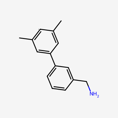 Cc1[c]c(C)cc(-c2cccc(CN)c2)c1